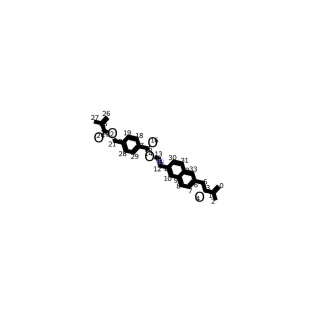 C=C(C)C(=O)Cc1ccc2cc(/C=C/OC(=O)c3ccc(COC(=O)C(=C)C)cc3)ccc2c1